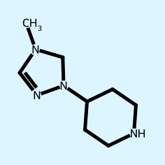 CN1C=NN(C2CCNCC2)C1